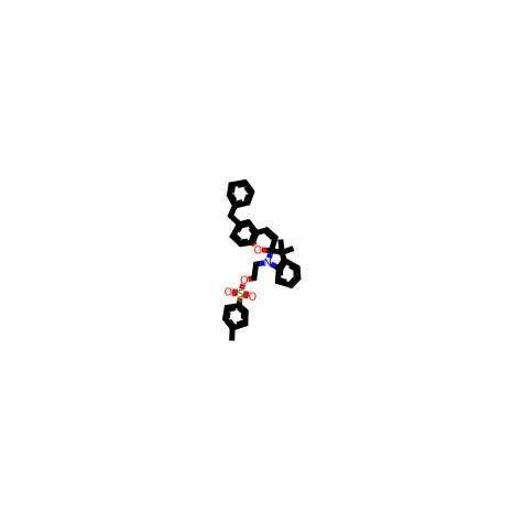 Cc1ccc(S(=O)(=O)OCCN2c3ccccc3C(C)(C)C23C=Cc2cc(Cc4ccccc4)ccc2O3)cc1